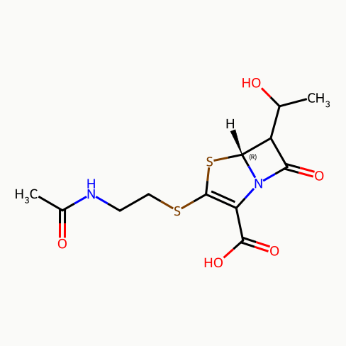 CC(=O)NCCSC1=C(C(=O)O)N2C(=O)C(C(C)O)[C@H]2S1